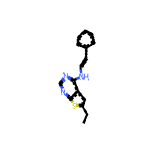 CCc1cc2c(NC=Cc3ccccc3)ncnc2s1